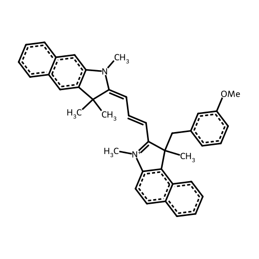 COc1cccc(CC2(C)C(/C=C/C=C3/N(C)c4cc5ccccc5cc4C3(C)C)=[N+](C)c3ccc4ccccc4c32)c1